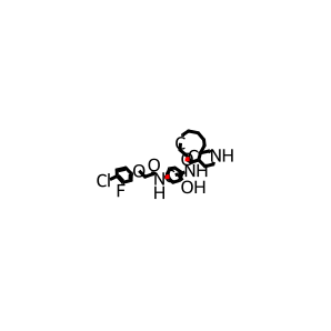 O=C(COc1ccc(Cl)c(F)c1)NC12CCC(NC(=O)C3CCNCC34CCCCCCCCC4)(CC1)C(O)C2